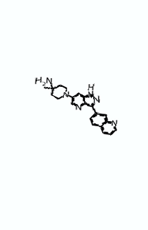 CC1(N)CCN(c2cnc3c(-c4ccc5cccnc5c4)n[nH]c3c2)CC1